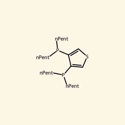 CCCCCP(CCCCC)c1cscc1P(CCCCC)CCCCC